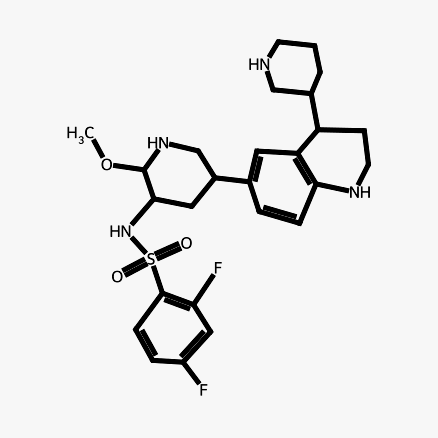 COC1NCC(c2ccc3c(c2)C(C2CCCNC2)CCN3)CC1NS(=O)(=O)c1ccc(F)cc1F